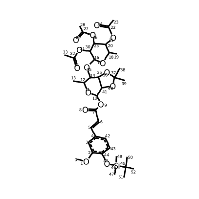 COc1cc(/C=C/C(=O)OC2OC(C)C(OC3OC(C)C(OC(C)=O)C(OC(C)=O)C3OC(C)=O)C3OC(C)(C)OC23)ccc1O[Si](C)(C)C(C)(C)C